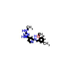 CCNc1n[nH]c(-c2ccnc(NCc3cc(C)ccc3OC)c2)n1